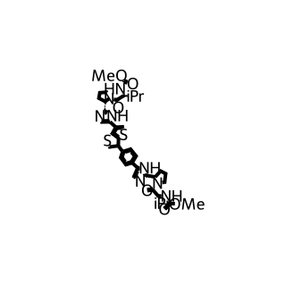 COC(=O)N[C@H](C(=O)N1CCCC1c1ncc(-c2ccc(C3CSc4c(-c5cnc([C@@H]6CCCN6C(=O)[C@@H](NC(=O)OC)C(C)C)[nH]5)csc43)cc2)[nH]1)C(C)C